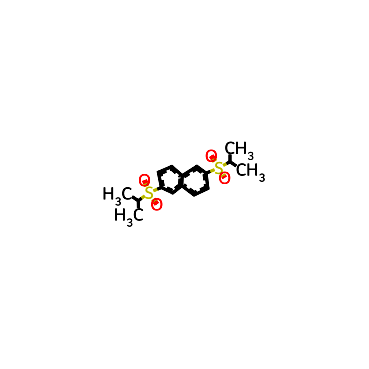 CC(C)S(=O)(=O)c1ccc2cc(S(=O)(=O)C(C)C)ccc2c1